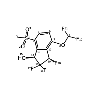 CS(=O)(=O)c1ccc(OC(F)F)c2c1[C@H](O)C(F)(F)[C@@H]2F